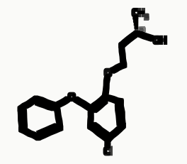 C[C@H](O)CCOc1ccc(Cl)cc1Oc1ccccc1